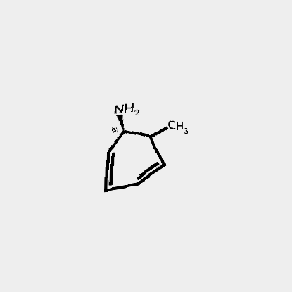 CC1C=CC=C[C@H]1N